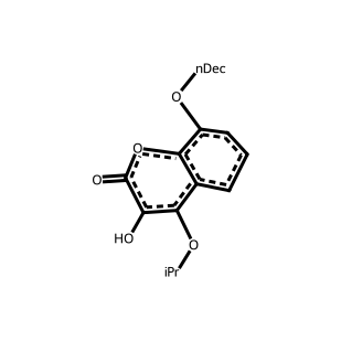 CCCCCCCCCCOc1cccc2c(OC(C)C)c(O)c(=O)oc12